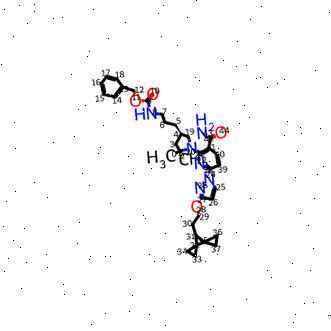 CC1(C)C[C@@H](CCCNC(=O)OCc2ccccc2)CN1c1nc(-n2ccc(OCCC3C4(CC4)C34CC4)n2)ccc1C(N)=O